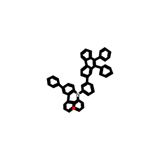 c1ccc(-c2ccc(N(c3ccccc3)c3cccc(-c4ccc5c(c4)c(-c4ccccc4)c(-c4ccccc4)c4ccccc45)c3)c(-c3ccccc3)c2)cc1